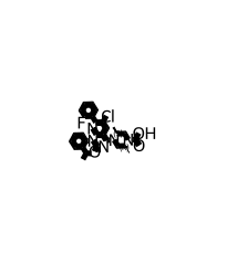 CC(C)c1ccccc1-n1c(=O)nc(N2C[C@@H](C)N(C(=O)O)C[C@@H]2C)c2cc(Cl)c(-c3ccccc3F)nc21